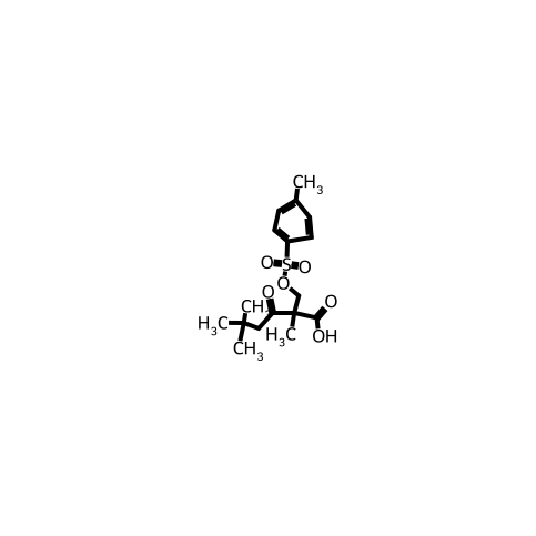 Cc1ccc(S(=O)(=O)OCC(C)(C(=O)O)C(=O)CC(C)(C)C)cc1